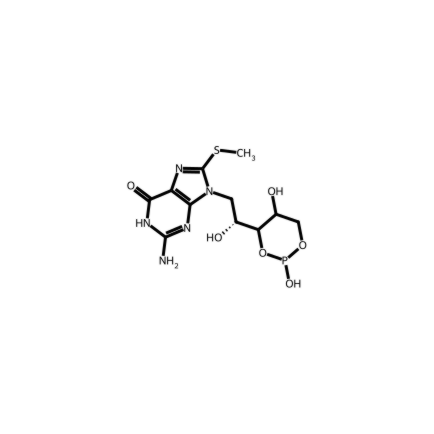 CSc1nc2c(=O)[nH]c(N)nc2n1C[C@@H](O)C1OP(O)OCC1O